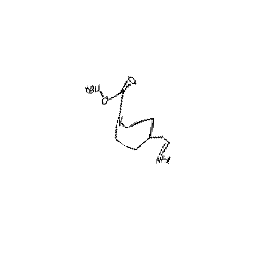 CC(C)(C)OC(=O)N1CCC(C=N)C1